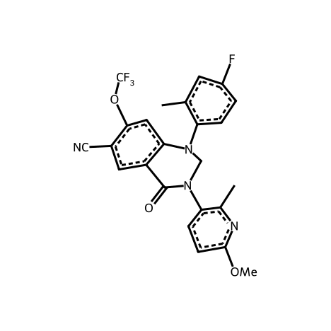 COc1ccc(N2CN(c3ccc(F)cc3C)c3cc(OC(F)(F)F)c(C#N)cc3C2=O)c(C)n1